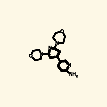 Nc1ccc(-c2cc(N3CCOCC3)nc(N3CCOCC3)c2)cn1